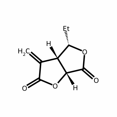 C=C1C(=O)O[C@H]2C(=O)O[C@@H](CC)[C@@H]12